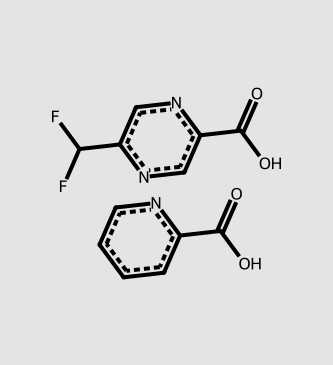 O=C(O)c1ccccn1.O=C(O)c1cnc(C(F)F)cn1